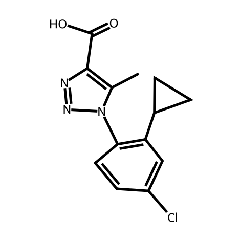 Cc1c(C(=O)O)nnn1-c1ccc(Cl)cc1C1CC1